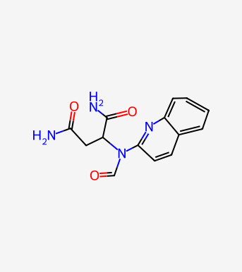 NC(=O)CC(C(N)=O)N(C=O)c1ccc2ccccc2n1